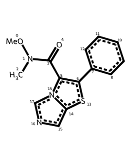 CON(C)C(=O)c1c(-c2ccccc2)sc2cncn12